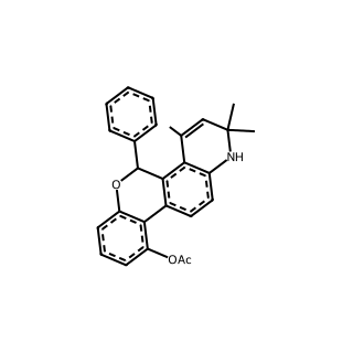 CC(=O)Oc1cccc2c1-c1ccc3c(c1C(c1ccccc1)O2)C(C)=CC(C)(C)N3